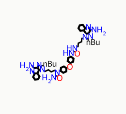 CCCCc1nc2c(N)nc3ccccc3c2n1CCCCNC(=O)Nc1ccc(Oc2ccc(N(CCCCn3c(CCCC)nc4c(N)nc5ccccc5c43)C(N)=O)cc2)cc1